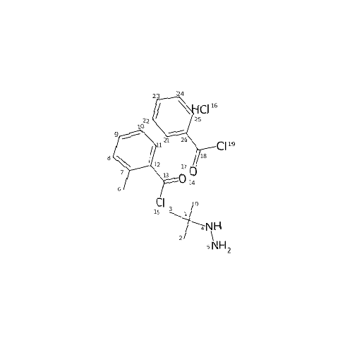 CC(C)(C)NN.Cc1ccccc1C(=O)Cl.Cl.O=C(Cl)c1ccccc1